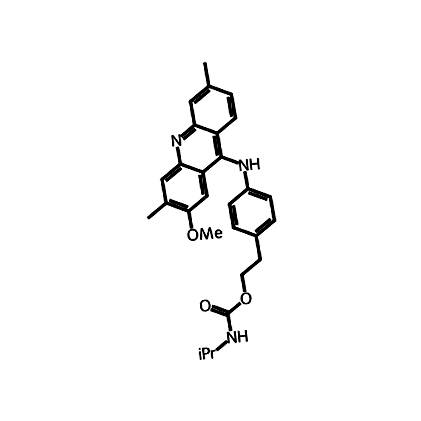 COc1cc2c(Nc3ccc(CCOC(=O)NC(C)C)cc3)c3ccc(C)cc3nc2cc1C